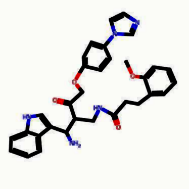 COc1ccccc1CCC(=O)NCC(C(=O)COc1ccc(-n2ccnc2)cc1)C(N)c1c[nH]c2ccccc12